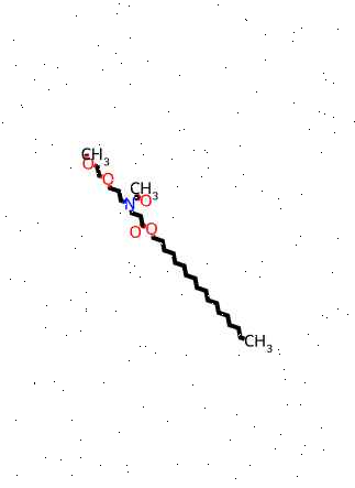 CCCCCCCCCCCCCCCCCCOC(=O)CCN(CCCOCCOC)C(C)=O